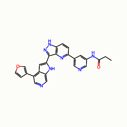 CCC(=O)Nc1cncc(-c2ccc3[nH]nc(-c4cc5c(-c6ccoc6)cncc5[nH]4)c3n2)c1